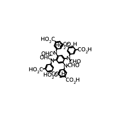 O=CN(c1cc(C(=O)O)cc(C(=O)O)c1)c1cc(N(C=O)c2cc(C(=O)O)cc(C(=O)O)c2)c(N(C=O)c2cc(C(=O)O)cc(C(=O)O)c2)cc1N(C=O)c1cc(C(=O)O)cc(C(=O)O)c1